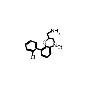 CCN1CC(CN)Oc2c(-c3ccccc3Cl)cccc21